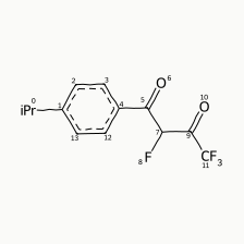 CC(C)c1ccc(C(=O)C(F)C(=O)C(F)(F)F)cc1